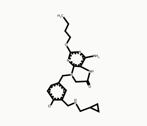 CCCCOc1nc(N)c2c(n1)N(Cc1ccc(Cl)c(CNCC3CC3)c1)CC(=O)N2